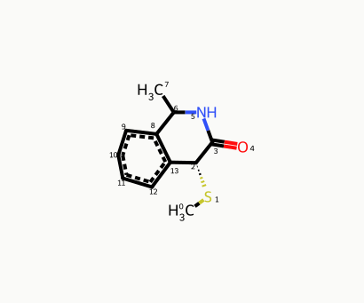 CS[C@H]1C(=O)NC(C)c2ccccc21